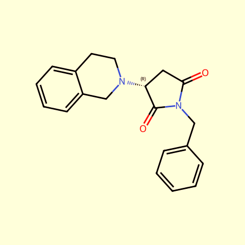 O=C1C[C@@H](N2CCc3ccccc3C2)C(=O)N1Cc1ccccc1